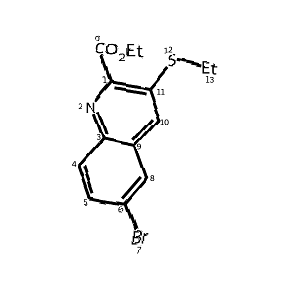 CCOC(=O)c1nc2ccc(Br)cc2cc1SCC